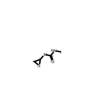 CNC(=O)SC1CS1